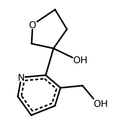 OCc1cccnc1C1(O)CCOC1